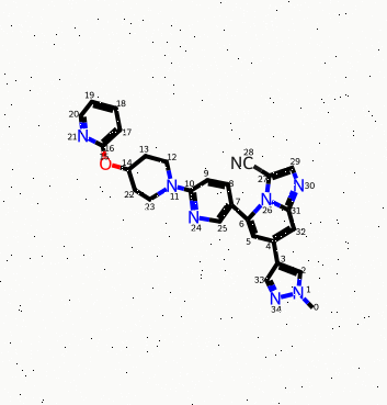 Cn1cc(-c2cc(-c3ccc(N4CCC(Oc5ccccn5)CC4)nc3)n3c(C#N)cnc3c2)cn1